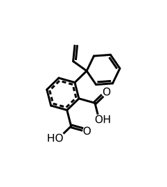 C=CC1(c2cccc(C(=O)O)c2C(=O)O)C=CC=CC1